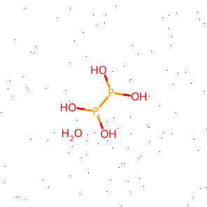 O.OP(O)P(O)O